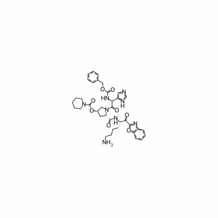 NCCCC[C@H](NC(=O)[C@@H]1C[C@@H](OC(=O)N2CCCCC2)CN1C(=O)C(NC(=O)OCc1ccccc1)c1cnc[nH]1)C(=O)c1nc2ccccc2o1